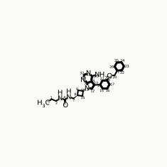 CCCNC(=O)NC[C@H]1C[C@H](n2cc(-c3cccc(OCc4ccccc4)c3)c3c(N)ncnc32)C1